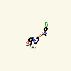 CSC(=Cc1ccccc1N1CCCC(OCc2sc(-c3ccc(Cl)cc3)nc2C)C1)[S+](C)[O-]